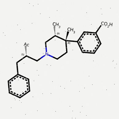 CC(=O)[C@@H](Cc1ccccc1)CN1CC[C@@](C)(c2cccc(C(=O)O)c2)[C@@H](C)C1